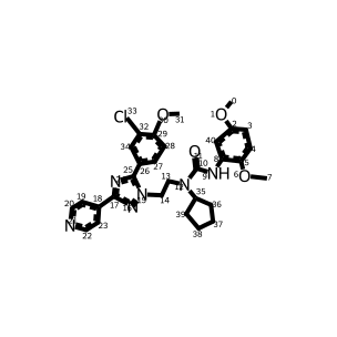 COc1ccc(OC)c(NC(=O)N(CCn2nc(-c3ccncc3)nc2-c2ccc(OC)c(Cl)c2)C2CCCC2)c1